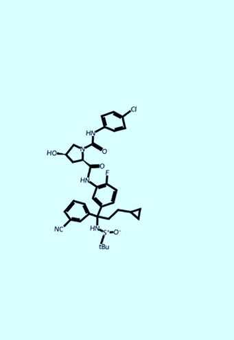 CC(C)(C)[S+]([O-])NC(CCC1CC1)(c1cccc(C#N)c1)c1ccc(F)c(NC(=O)[C@H]2C[C@@H](O)CN2C(=O)Nc2ccc(Cl)cc2)c1